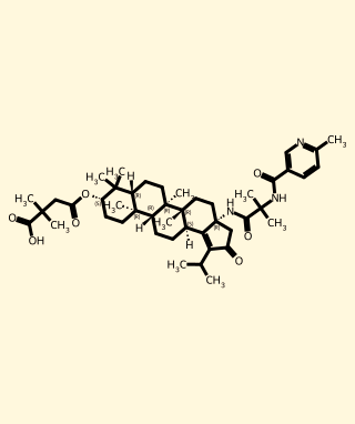 Cc1ccc(C(=O)NC(C)(C)C(=O)N[C@@]23CC[C@]4(C)[C@H](CC[C@@H]5[C@@]6(C)CC[C@H](OC(=O)CC(C)(C)C(=O)O)C(C)(C)[C@@H]6CC[C@]54C)C2=C(C(C)C)C(=O)C3)cn1